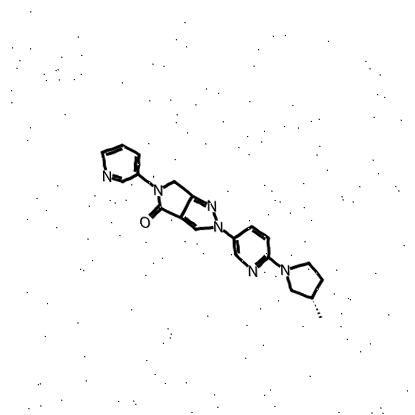 C[C@H]1CCN(c2ccc(-n3cc4c(n3)CN(c3cccnc3)C4=O)cn2)C1